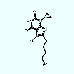 CCn1c(CCCCC(C)=O)nc2c1c(=O)[nH]c(=O)n2C1CC1